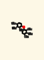 CC(C)(C)c1ccc(Oc2ccc(C(C)(C)C)c(C(C)(C)C)c2C(C)(C)C)c(C(C)(C)C)c1C(C)(C)C